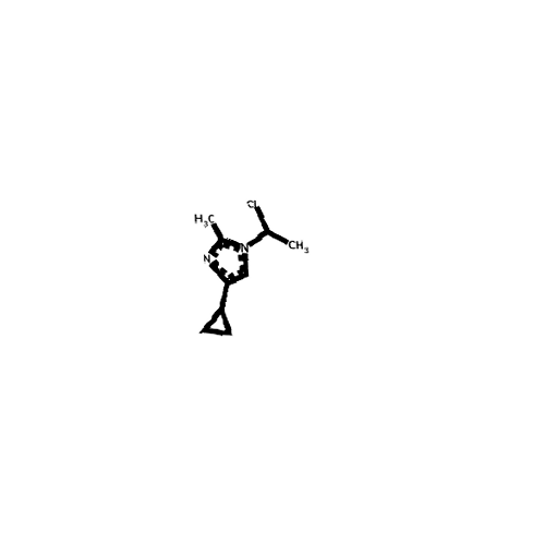 Cc1nc(C2CC2)cn1C(C)Cl